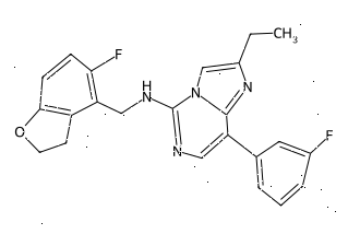 CCc1cn2c(NCc3c(F)ccc4c3CCO4)ncc(-c3cccc(F)c3)c2n1